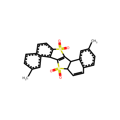 Cc1ccc2c(c1)C1C3=C(c4c(ccc5ccc(C)cc45)S3(=O)=O)S(=O)(=O)C1C=C2